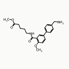 COC(=O)CCCCNC(=O)c1cc(-c2ccc(CN)cc2)ccc1OC